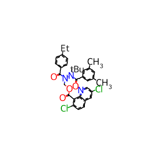 CCc1ccc(C(=O)N(COC(=O)c2c(Cl)ccc3cc(Cl)cnc23)N(C(=O)c2cc(C)cc(C)c2)C(C)(C)C)cc1